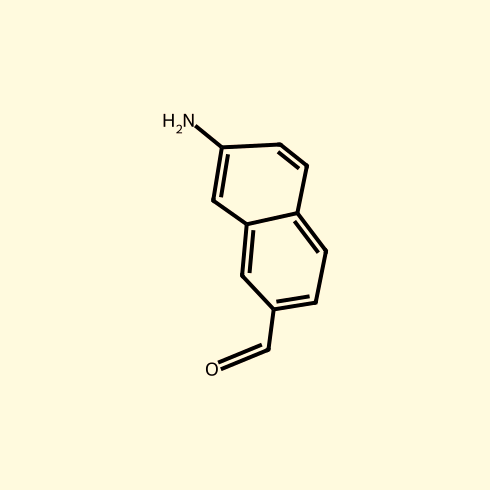 Nc1ccc2ccc(C=O)cc2c1